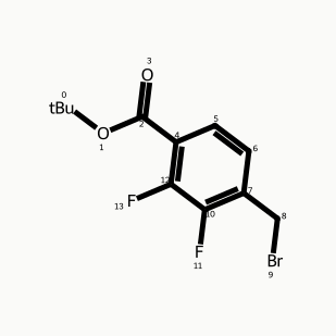 CC(C)(C)OC(=O)c1ccc(CBr)c(F)c1F